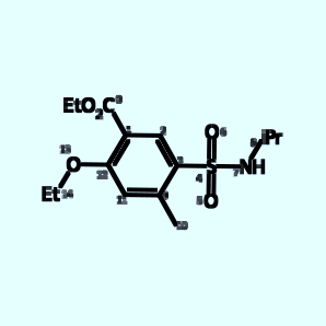 CCOC(=O)c1cc(S(=O)(=O)NC(C)C)c(C)cc1OCC